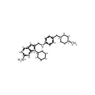 CN1CCN(Cc2ccc(OCc3cc4cnc(N)nc4n3C3CCCCC3)cc2)CC1